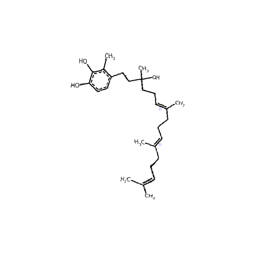 CC(C)=CCC/C(C)=C/CC/C(C)=C/CCC(C)(O)CCc1ccc(O)c(O)c1C